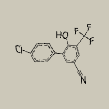 N#Cc1cc(-c2ccc(Cl)cc2)c(O)c(C(F)(F)F)c1